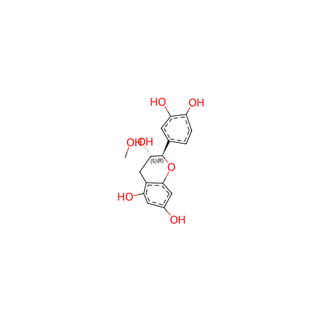 CO.Oc1cc(O)c2c(c1)O[C@H](c1ccc(O)c(O)c1)[C@@H](O)C2